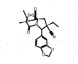 CC[C@]1(C#N)C[C@@]23SS[C@@](C)(C(=O)N2C1c1ccc2c(c1)OCO2)N(C)C3=O